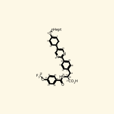 CCCCCCCOC1=CCC(c2cnc(-c3ccc(C[C@H](NC(=O)c4ccc(OC(F)(F)F)cc4)C(=O)O)cc3)nc2)C=C1